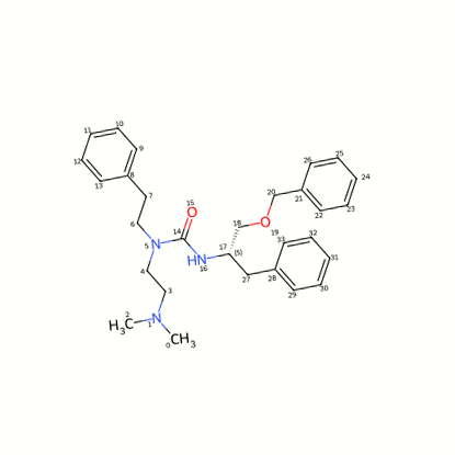 CN(C)CCN(CCc1ccccc1)C(=O)N[C@H](COCc1ccccc1)Cc1ccccc1